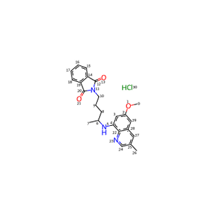 COc1cc(NC(C)CCCN2C(=O)c3ccccc3C2=O)c2ncc(C)cc2c1.Cl